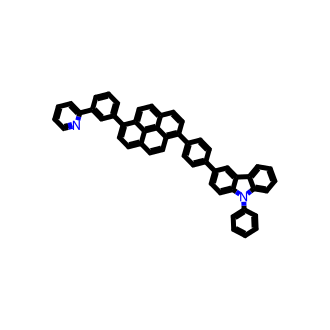 c1ccc(-n2c3ccccc3c3cc(-c4ccc(-c5ccc6ccc7c(-c8cccc(-c9ccccn9)c8)ccc8ccc5c6c87)cc4)ccc32)cc1